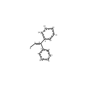 C/C=C(\c1cncnc1)c1cccnn1